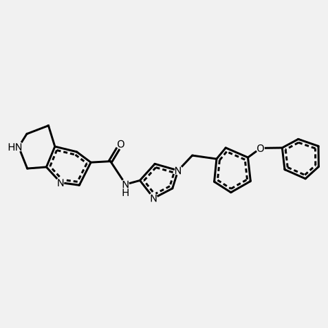 O=C(Nc1cn(Cc2cccc(Oc3ccccc3)c2)cn1)c1cnc2c(c1)CCNC2